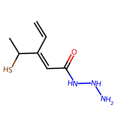 C=C/C(=C\C(=O)NNN)C(C)S